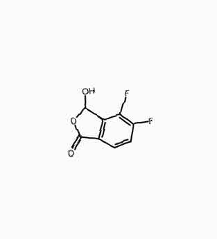 O=C1OC(O)c2c1ccc(F)c2F